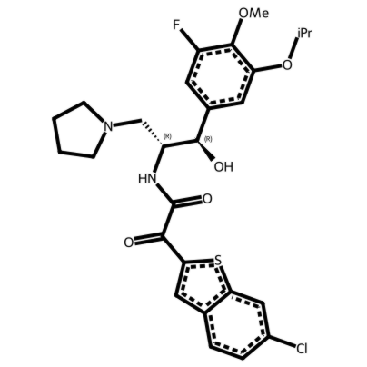 COc1c(F)cc([C@@H](O)[C@@H](CN2CCCC2)NC(=O)C(=O)c2cc3ccc(Cl)cc3s2)cc1OC(C)C